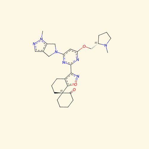 CN1CCC[C@H]1COc1cc(N2Cc3cnn(C)c3C2)nc(-c2noc3c2CCC[C@@]32CCCCC2=O)n1